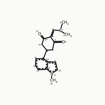 CN(C)C=C1C(=O)CC(c2cccc3c2ccn3C)CC1=O